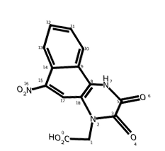 O=C(O)Cn1c(=O)c(=O)[nH]c2c3ccccc3c([N+](=O)[O-])cc21